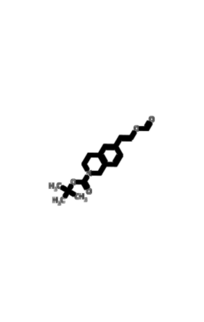 CC(C)(C)OC(=O)N1CCc2cc(/C=C/OC=O)ccc2C1